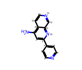 Nc1cc(-c2ccncc2)nc2cnccc12